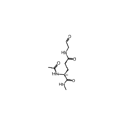 CNC(=O)[C@H](CCC(=O)NCC=O)NC(C)=O